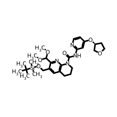 COC(OC)c1nc2c(cc1CO[Si](C)(C)C(C)(C)C)CCCN2C(=O)Nc1cc(O[C@H]2CCOC2)ccn1